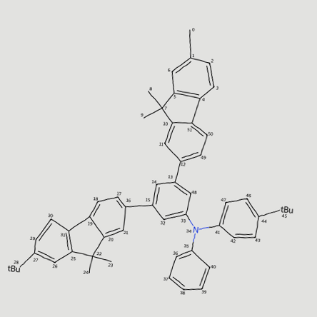 Cc1ccc2c(c1)C(C)(C)c1cc(-c3cc(-c4ccc5c(c4)C(C)(C)c4cc(C(C)(C)C)ccc4-5)cc(N(c4ccccc4)c4ccc(C(C)(C)C)cc4)c3)ccc1-2